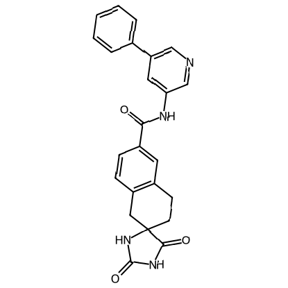 O=C1NC(=O)C2(CCc3cc(C(=O)Nc4cncc(-c5ccccc5)c4)ccc3C2)N1